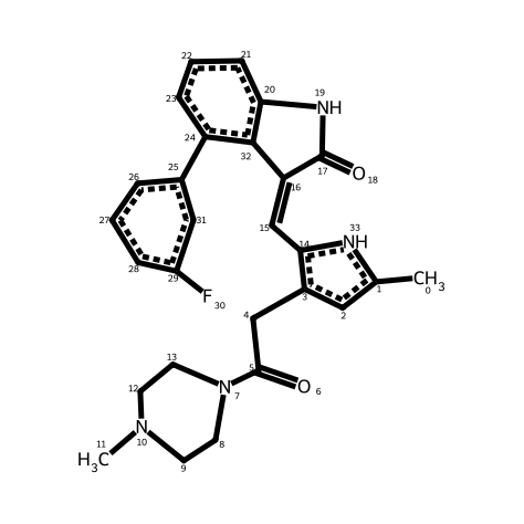 Cc1cc(CC(=O)N2CCN(C)CC2)c(/C=C2\C(=O)Nc3cccc(-c4cccc(F)c4)c32)[nH]1